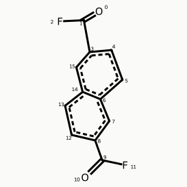 O=C(F)c1ccc2cc(C(=O)F)ccc2c1